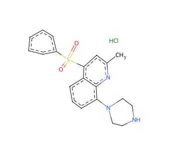 Cc1cc(S(=O)(=O)c2ccccc2)c2cccc(N3CCNCC3)c2n1.Cl